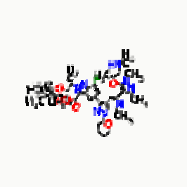 CNC[C@H](C)Oc1c(-c2cc3c(-c4cc(F)c5nn([C@@H](C)CO[Si](C)(C)C(C)(C)C)c(C(=O)O)c5c4)nn(C4CCCCO4)c3c(C)n2)c(C)nn1C